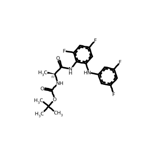 C[C@H](NC(=O)OC(C)(C)C)C(=O)Nc1c(F)cc(F)cc1Nc1cc(F)cc(F)c1